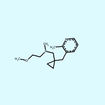 COCCN(C)CC1(Cc2cccnc2C)CC1